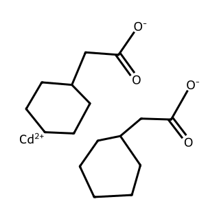 O=C([O-])CC1CCCCC1.O=C([O-])CC1CCCCC1.[Cd+2]